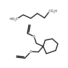 C=COCC1(COC=C)CCCCC1.O=C(O)CCCCC(=O)O